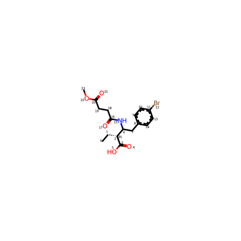 CC[C@@H](C(=O)O)C(Cc1ccc(Br)cc1)NC(=O)CCC(=O)OC